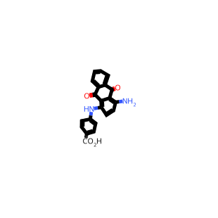 Nc1ccc(Nc2ccc(C(=O)O)cc2)c2c1C(=O)c1ccccc1C2=O